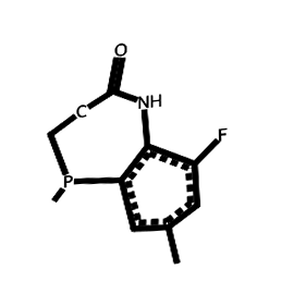 Cc1cc(F)c2c(c1)P(C)CCC(=O)N2